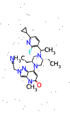 CC[C@H]1CN(C(C)c2ccc(C3CC3)nc2F)[C@H](CC)CN1c1cc(=O)n(C)c2cn(CC#N)nc12